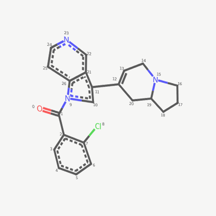 O=C(c1ccccc1Cl)n1cc(C2=CCN3CCCC3C2)c2cnccc21